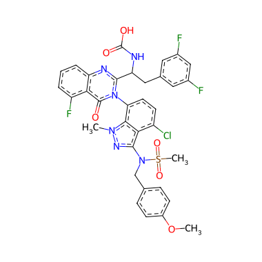 COc1ccc(CN(c2nn(C)c3c(-n4c(C(Cc5cc(F)cc(F)c5)NC(=O)O)nc5cccc(F)c5c4=O)ccc(Cl)c23)S(C)(=O)=O)cc1